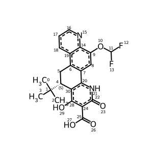 CC(C)(C)[C@@H]1Cc2c(cc(OC(F)F)c3ncccc23)-c2[nH]c(=O)c(C(=O)O)c(O)c21